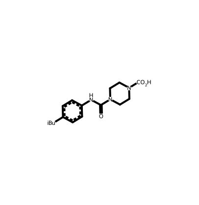 CCC(C)c1ccc(NC(=O)N2CCN(C(=O)O)CC2)cc1